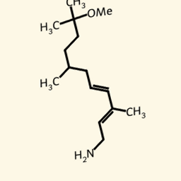 COC(C)(C)CCC(C)CC=CC(C)=CCN